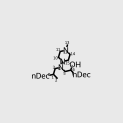 CCCCCCCCCCC(C)CN(CC(O)CCCCCCCCCC)N1CCN(C)CC1